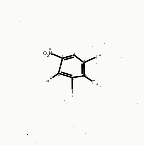 O=[N+]([O-])c1cc(I)c(F)c(I)c1F